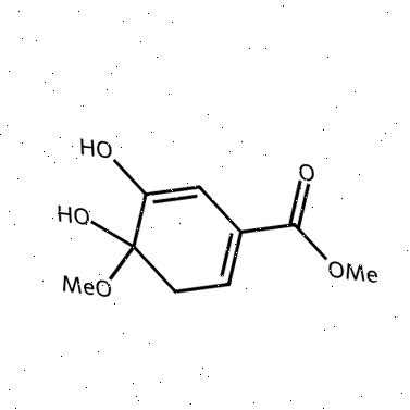 COC(=O)C1=CCC(O)(OC)C(O)=C1